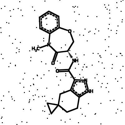 CN1C(=O)[C@@H](NC(=O)c2n[nH]c3c2CC2(CC3)CC2)COc2ccccc21